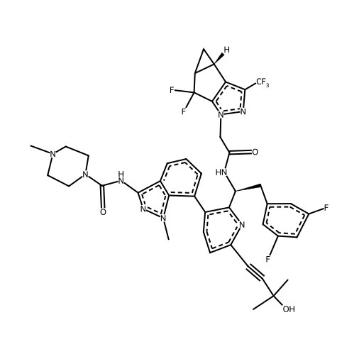 CN1CCN(C(=O)Nc2nn(C)c3c(-c4ccc(C#CC(C)(C)O)nc4[C@H](Cc4cc(F)cc(F)c4)NC(=O)Cn4nc(C(F)(F)F)c5c4C(F)(F)C4C[C@H]54)cccc23)CC1